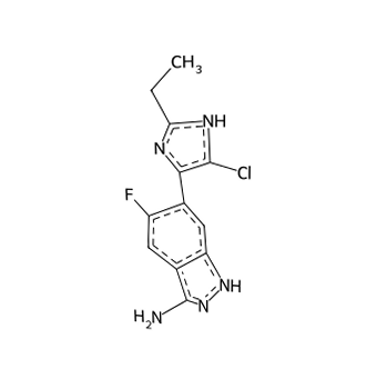 CCc1nc(-c2cc3[nH]nc(N)c3cc2F)c(Cl)[nH]1